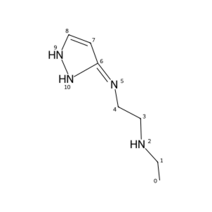 CCNCCN=c1cc[nH][nH]1